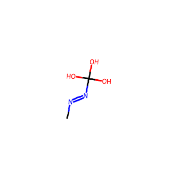 CN=NC(O)(O)O